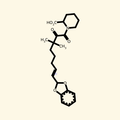 CC(C)(CCC/C=C/C1Oc2ccccc2O1)C(=O)C(=O)N1CCCCC1C(=O)O